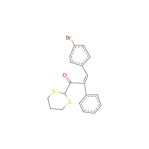 O=C(C(=Cc1ccc(Br)cc1)c1ccccc1)C1SCCCS1